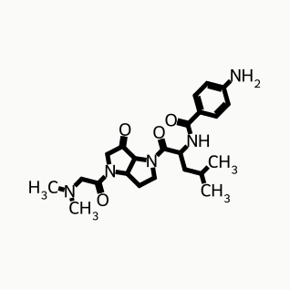 CC(C)CC(NC(=O)c1ccc(N)cc1)C(=O)N1CCC2C1C(=O)CN2C(=O)CN(C)C